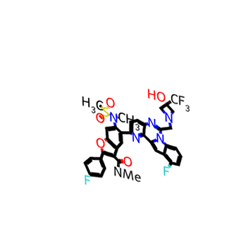 CNC(=O)c1c(-c2ccc(F)cc2)oc2cc(N(C)S(C)(=O)=O)c(-c3ccc4nc(CN5CC(O)(C(F)(F)F)C5)n5c6cccc(F)c6cc5c4n3)cc12